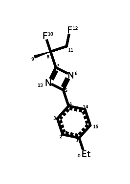 CCc1ccc(C2=NC([C@](C)(F)CF)=N2)cc1